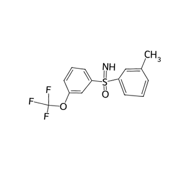 Cc1cccc(S(=N)(=O)c2cccc(OC(F)(F)F)c2)c1